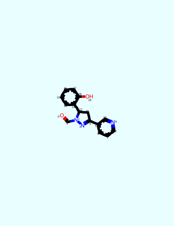 O=CN1N=C(c2cccnc2)CC1c1ccccc1O